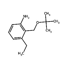 CCc1cccc(N)c1COC(C)(C)C